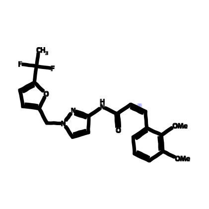 COc1cccc(/C=C\C(=O)Nc2ccn(Cc3ccc(C(C)(F)F)o3)n2)c1OC